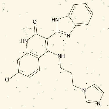 O=c1[nH]c2cc(Cl)ccc2c(NCCCn2ccnc2)c1-c1nc2ccccc2[nH]1